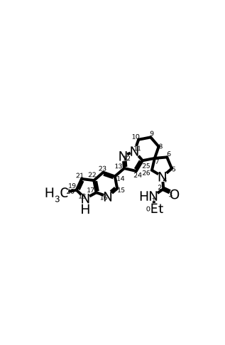 CCNC(=O)N1CCC2(CCCn3nc(-c4cnc5[nH]c(C)cc5c4)cc32)C1